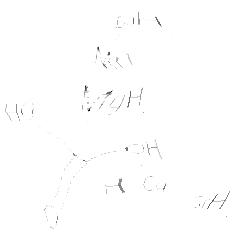 O=C(O)O.[BaH2].[CaH2].[MgH2].[Mn].[SrH2]